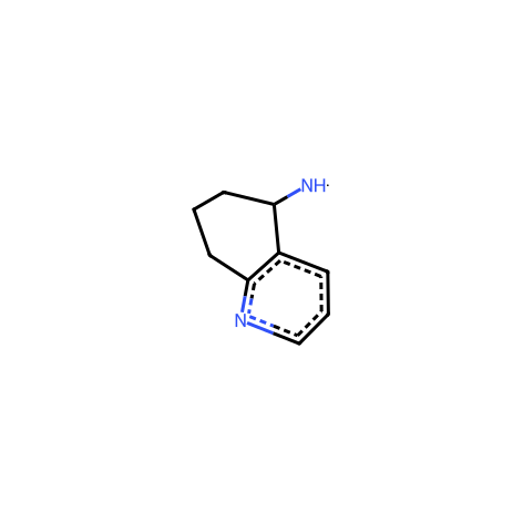 [NH]C1CCCc2ncccc21